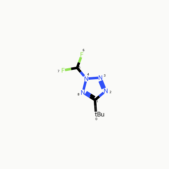 CC(C)(C)c1nnn(C(F)F)n1